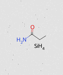 CCC(N)=O.[SiH4]